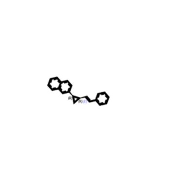 C(=C\[C@H]1C[C@H]1c1ccc2ccccc2c1)/c1ccccc1